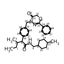 CCC(C)C(C(=O)NCC1CCC(C)CC1)c1ccc(CN2N=C(c3ccccc3)OCC2=O)cc1